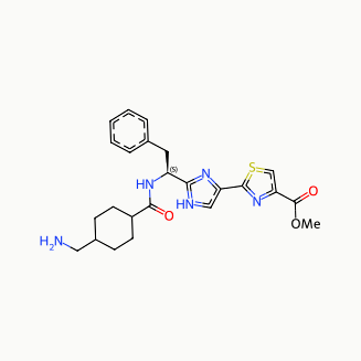 COC(=O)c1csc(-c2c[nH]c([C@H](Cc3ccccc3)NC(=O)C3CCC(CN)CC3)n2)n1